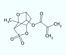 C=C(C)C(=O)OC1C2CC3OS(=O)(=O)C1C3(C)O2